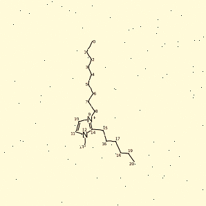 CCCCCCCCC[n+]1ccn(C)c1CCCCCC